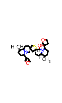 C[C@@H]1CCC(c2ccoc2)N2C[C@@]3(CC[C@@H]12)CS[C@@]1(CC[C@H]2[C@H](C)CCC(C4=COCC4)N2[C@@H]1O)C3